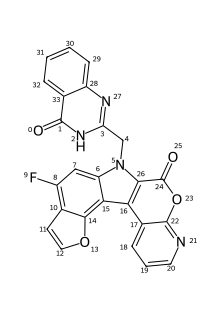 O=c1[nH]c(Cn2c3cc(F)c4ccoc4c3c3c4cccnc4oc(=O)c32)nc2ccccc12